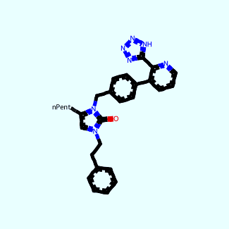 CCCCCc1cn(CCc2ccccc2)c(=O)n1Cc1ccc(-c2cccnc2-c2nnn[nH]2)cc1